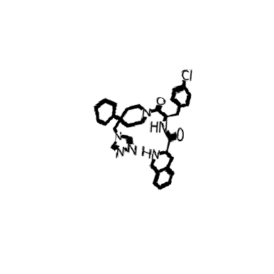 O=C(N[C@H](Cc1ccc(Cl)cc1)C(=O)N1CCC(Cn2cnnc2)(C2CCCCC2)CC1)[C@H]1Cc2ccccc2CN1